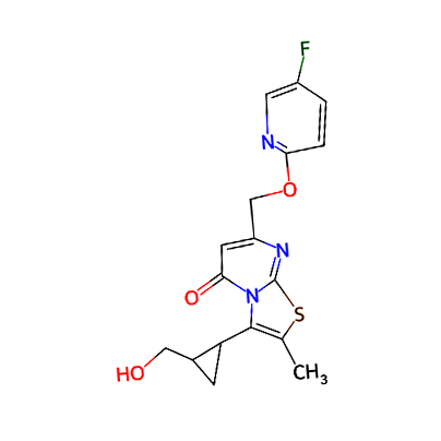 Cc1sc2nc(COc3ccc(F)cn3)cc(=O)n2c1C1CC1CO